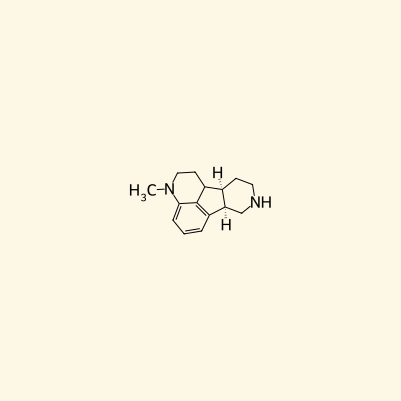 CN1CCC2c3c(cccc31)[C@@H]1CNCC[C@H]21